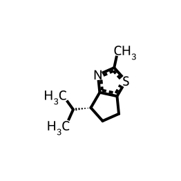 Cc1nc2c(s1)CC[C@@H]2C(C)C